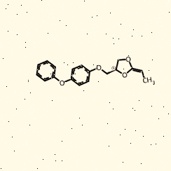 CC=C1OC[C@H](COc2ccc(Oc3ccccc3)cc2)O1